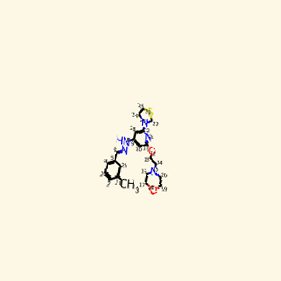 Cc1cccc(C=NNc2cc(OCCN3CCOCC3)nc(N3CCSC3)c2)c1